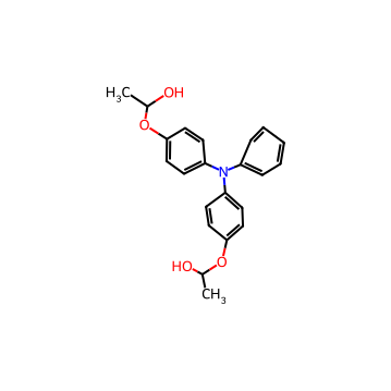 CC(O)Oc1ccc(N(c2ccccc2)c2ccc(OC(C)O)cc2)cc1